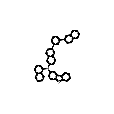 c1cc(-c2ccc3ccccc3c2)cc(-c2ccc3cc(N(c4ccc5sc6ccccc6c5c4)c4cccc5ccccc45)ccc3c2)c1